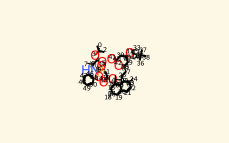 CC(C)OC(=O)[C@H](C)NP(=O)(CC(=O)O[C@H]1C[C@@H](C)C=C2C=C[C@H](C)[C@H](CC[C@@H]3C[C@@H](O[Si](C)(C)C(C)(C)C)CC(=O)O3)[C@H]21)Oc1ccccc1